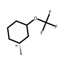 C[C@@H]1CCCC(OC(F)(F)F)C1